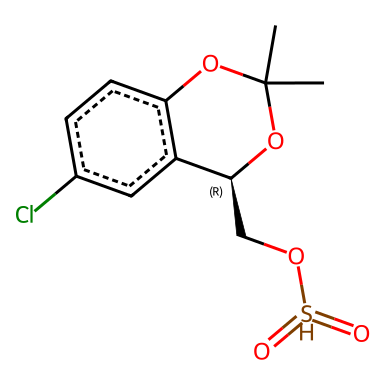 CC1(C)Oc2ccc(Cl)cc2[C@H](CO[SH](=O)=O)O1